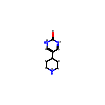 O=c1ncc(C2CCNCC2)c[nH]1